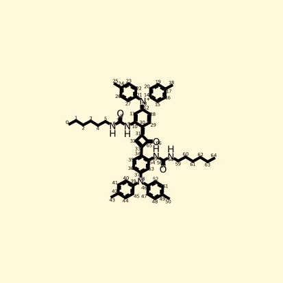 CCCCCCNC(=O)NC1=CC(=[N+](c2ccc(C)cc2)c2ccc(C)cc2)C=C/C1=C1/C=C(c2ccc(N(c3ccc(C)cc3)c3ccc(C)cc3)cc2NC(=O)NCCCCCC)C1=O